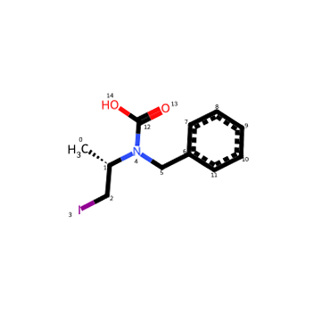 C[C@@H](CI)N(Cc1ccccc1)C(=O)O